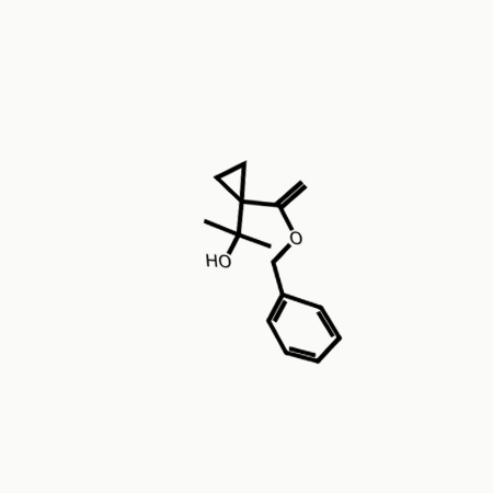 C=C(OCc1ccccc1)C1(C(C)(C)O)CC1